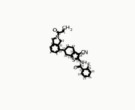 C=CC(=O)N1Cc2cccc(C3CCc4c(sc(NC(=O)c5ccccc5F)c4C#N)C3)c2C1